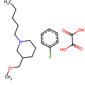 CCCCCN1CCCC(COC)C1.Fc1ccccc1.O=C(O)C(=O)O